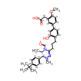 CCN(C=O)/C(CCCc1ccc(-c2ccc(OC)c(CC(=O)O)c2)cc1O)=N\N(C)Cc1ccc(C(C)(C)C)cc1